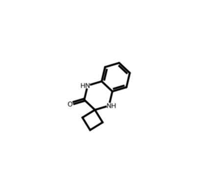 O=C1Nc2ccccc2NC12CCC2